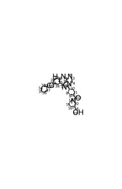 Nc1nccn2c(C3CCC(C(=O)N4CCCC(CO)C4)CC3)nc(-c3cccc(OCc4ccccc4)c3)c12